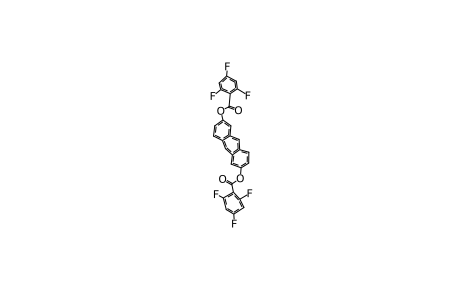 O=C(Oc1ccc2cc3cc(OC(=O)c4c(F)cc(F)cc4F)ccc3cc2c1)c1c(F)cc(F)cc1F